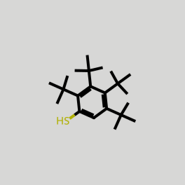 CC(C)(C)c1cc(S)c(C(C)(C)C)c(C(C)(C)C)c1C(C)(C)C